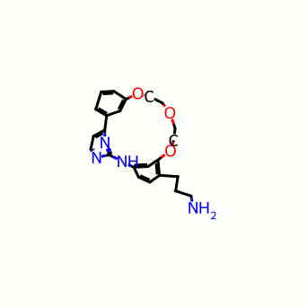 NCCCc1ccc2cc1OCCOCCOc1cccc(c1)-c1ccnc(n1)N2